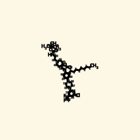 CCCCCCCCCc1cc(N2CCN(c3cc(C(F)(F)F)cc(Cl)n3)CC2)ccc1N1CC2(CCN(CCNC(=O)OC(C)(C)C)CC2)OC1=O